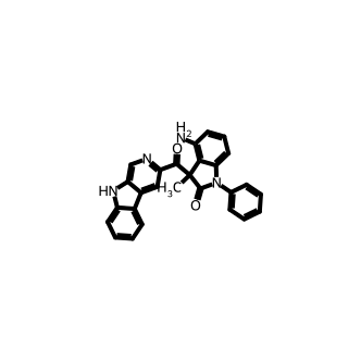 CC1(C(=O)c2cc3c(cn2)[nH]c2ccccc23)C(=O)N(c2ccccc2)c2cccc(N)c21